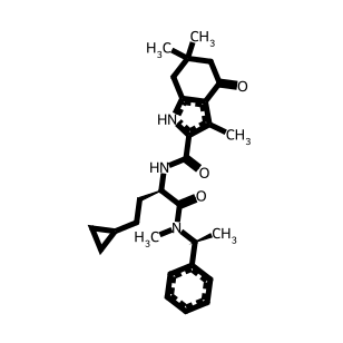 Cc1c(C(=O)N[C@H](CCC2CC2)C(=O)N(C)[C@@H](C)c2ccccc2)[nH]c2c1C(=O)CC(C)(C)C2